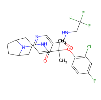 CC(C)(Oc1ccc(F)cc1Cl)C(=O)NC1CC2CCC(C1)N2c1ccc(C(=O)NCC(F)(F)F)cn1